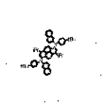 CC(C)c1cc(N(C2=CC=C(C(C)(C)C)CC2)c2ccc3ccccc3c2)c2ccc3c(C(C)C)cc(N(c4ccc(C(C)(C)C)cc4)c4ccc5ccccc5c4)c4ccc1c2c34